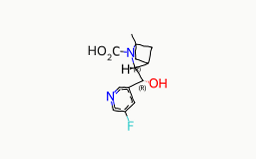 CC12CC(C1)[C@H]([C@H](O)c1cncc(F)c1)N2C(=O)O